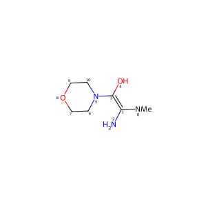 CN/C(N)=C(\O)N1CCOCC1